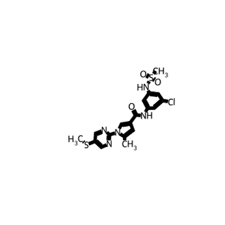 CSc1cnc(-n2cc(C(=O)Nc3cc(Cl)cc(NS(C)(=O)=O)c3)cc2C)nc1